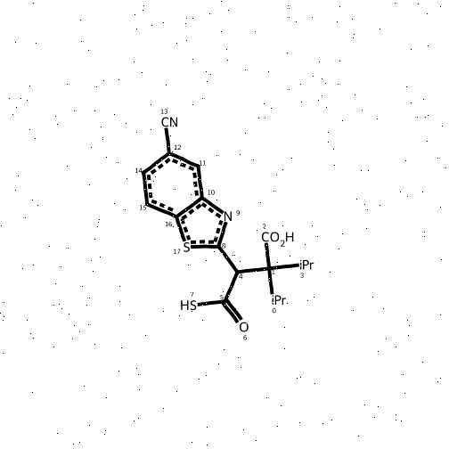 CC(C)C(C(=O)O)(C(C)C)C(C(=O)S)c1nc2cc(C#N)ccc2s1